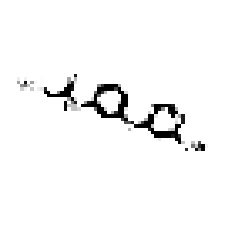 CNc1cc(Oc2cccc(NC(=O)COC)c2)ncn1